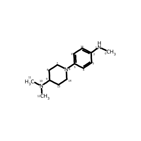 CNc1ccc(N2CCC(N(C)C)CC2)cc1